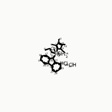 CC[CH2][Hf](=[SiH2])([Cl])([C]1=C(C)C(C)=C(C)C1C)[CH]1c2ccccc2-c2ccccc21.Cl.Cl